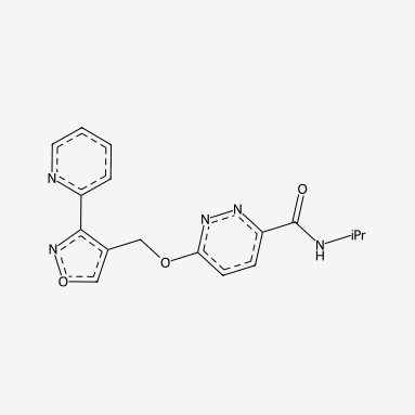 CC(C)NC(=O)c1ccc(OCc2conc2-c2ccccn2)nn1